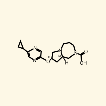 O=C(O)N1CCCN2C[C@H](Oc3cnc(C4CC4)cn3)C[C@H]2C1